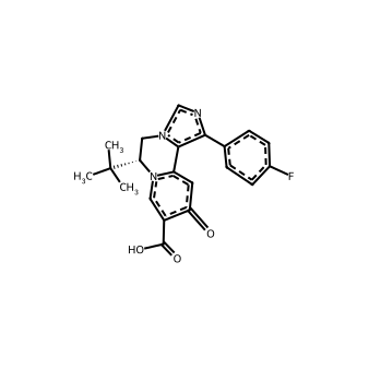 CC(C)(C)[C@@H]1Cn2cnc(-c3ccc(F)cc3)c2-c2cc(=O)c(C(=O)O)cn21